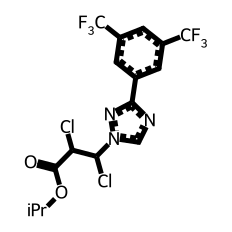 CC(C)OC(=O)C(Cl)C(Cl)n1cnc(-c2cc(C(F)(F)F)cc(C(F)(F)F)c2)n1